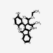 CCOC(=O)C1=C(C)NC2=C(C(=O)c3ccccc32)C1c1cc(Br)ccc1O